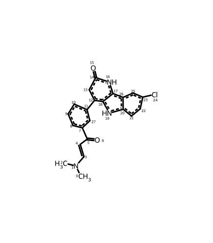 CN(C)C=CC(=O)c1cccc(-c2cc(=O)[nH]c3c2[nH]c2ccc(Cl)cc23)c1